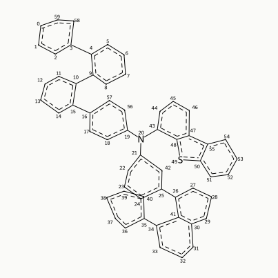 c1ccc(-c2ccccc2-c2ccccc2-c2ccc(N(c3cccc(-c4cccc5cccc(-c6ccccc6)c45)c3)c3cccc4c3sc3ccccc34)cc2)cc1